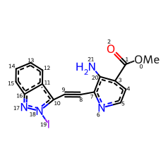 COC(=O)c1ccnc(C#Cc2c3ccccc3nn2I)c1N